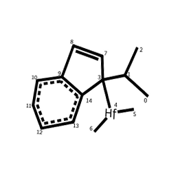 CC(C)[C]1([Hf]([CH3])[CH3])C=Cc2ccccc21